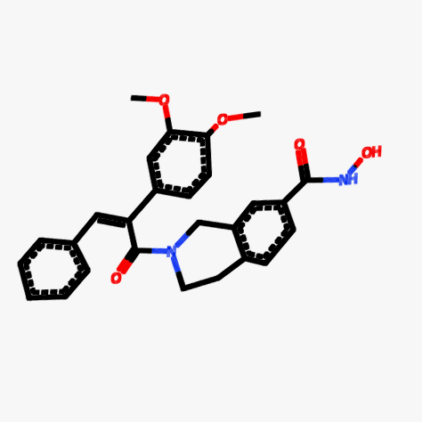 COc1ccc(/C(=C/c2ccccc2)C(=O)N2CCc3ccc(C(=O)NO)cc3C2)cc1OC